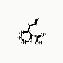 C=CCc1cnnnn1.O=CO